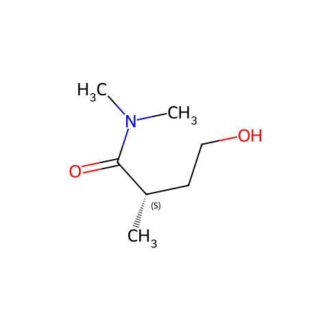 C[C@@H](CCO)C(=O)N(C)C